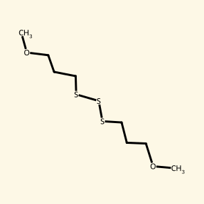 COCCCSSSCCCOC